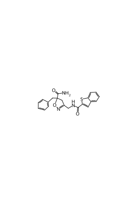 NC(=O)C1(Cc2ccccc2)CC(CNC(=O)c2cc3ccccc3s2)=NO1